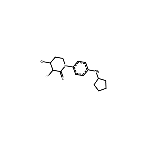 O=C1C(Cl)C(Cl)CCN1c1ccc(NC2CCCC2)cc1